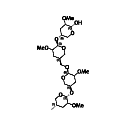 COC1C[C@@H](O[C@H]2OC[C@@H](C)CC2OC)CO[C@H]1OC[C@@H]1CO[C@H](O[C@H]2CO[C@@H](O)C(OC)C2)C(OC)C1